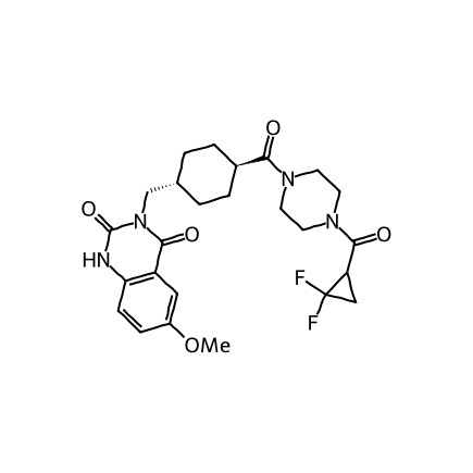 COc1ccc2[nH]c(=O)n(C[C@H]3CC[C@H](C(=O)N4CCN(C(=O)C5CC5(F)F)CC4)CC3)c(=O)c2c1